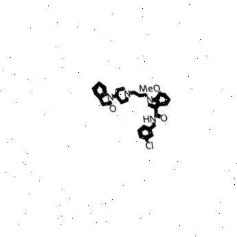 COc1cccc2c(C(=O)NCc3cccc(Cl)c3)cn(CCCN3CCC(N4C(=O)Cc5ccccc54)CC3)c12